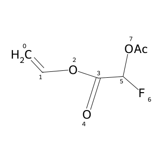 C=COC(=O)C(F)OC(C)=O